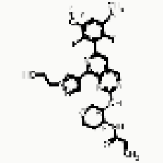 C=CC(=O)N[C@H]1CCOC[C@H]1Nc1ncc2cc(-c3c(F)c(OC)cc(OC)c3F)nc(-c3cnn(CCO)c3)c2n1